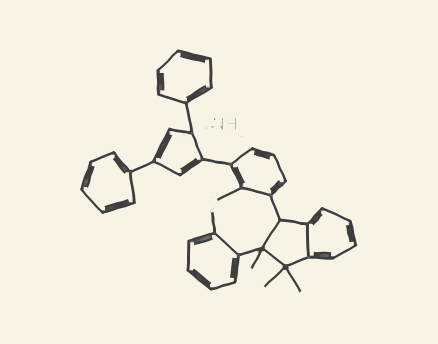 CC1(C)c2ccccc2C2c3cccc(C4=CC(c5ccccc5)=C[C@@]4(N)c4ccccc4)c3Sc3ccccc3C21C